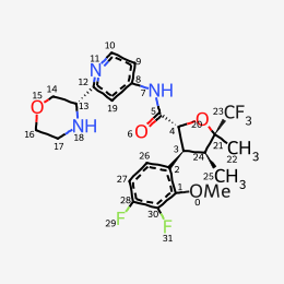 COc1c([C@H]2[C@H](C(=O)Nc3ccnc([C@H]4COCCN4)c3)O[C@@](C)(C(F)(F)F)[C@H]2C)ccc(F)c1F